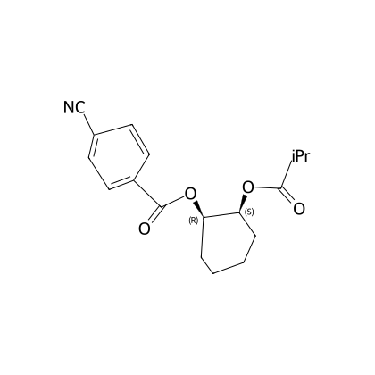 CC(C)C(=O)O[C@H]1CCCC[C@H]1OC(=O)c1ccc(C#N)cc1